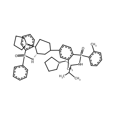 Cc1ccccc1P(=O)(N[C@@H](CN1CCCC1)C(C)C)c1ccc(C2CC[C@H](N3CCCC3)[C@@H](NP(=O)(c3ccccc3)c3ccccc3)C2)cc1C